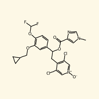 Cn1cnc(C(=O)OC(Cc2c(Cl)c[n+]([O-])cc2Cl)c2ccc(OC(F)F)c(OCC3CC3)c2)c1